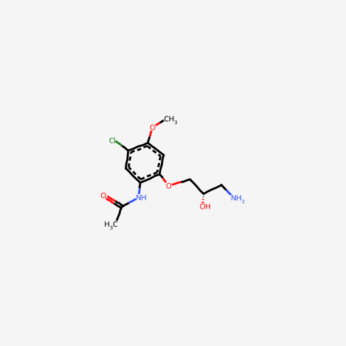 COc1cc(OC[C@@H](O)CN)c(NC(C)=O)cc1Cl